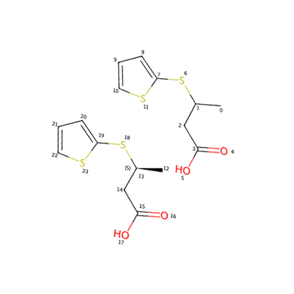 CC(CC(=O)O)Sc1cccs1.C[C@@H](CC(=O)O)Sc1cccs1